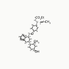 CC#C[C@@H](CC(=O)OCC)c1ccc(OCc2cc(-c3ccc(O)cc3C)cn3ncnc23)cc1